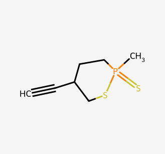 C#CC1CCP(C)(=S)SC1